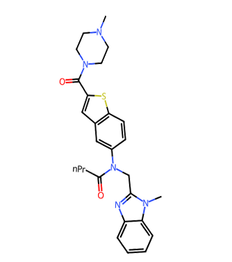 CCCC(=O)N(Cc1nc2ccccc2n1C)c1ccc2sc(C(=O)N3CCN(C)CC3)cc2c1